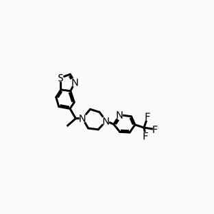 CC(c1ccc2scnc2c1)N1CCN(c2ccc(C(F)(F)F)cn2)CC1